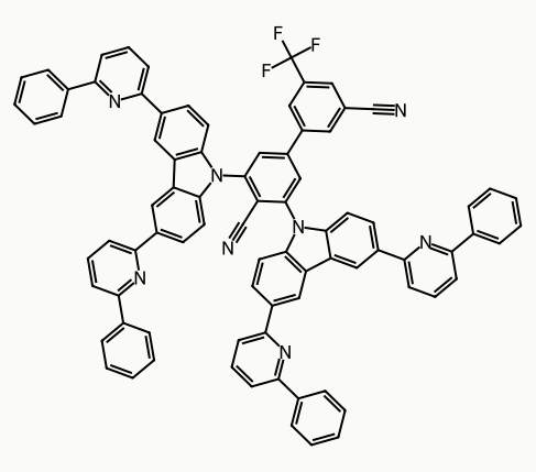 N#Cc1cc(-c2cc(-n3c4ccc(-c5cccc(-c6ccccc6)n5)cc4c4cc(-c5cccc(-c6ccccc6)n5)ccc43)c(C#N)c(-n3c4ccc(-c5cccc(-c6ccccc6)n5)cc4c4cc(-c5cccc(-c6ccccc6)n5)ccc43)c2)cc(C(F)(F)F)c1